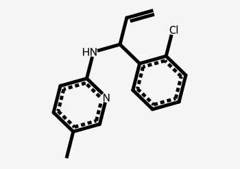 C=CC(Nc1ccc(C)cn1)c1ccccc1Cl